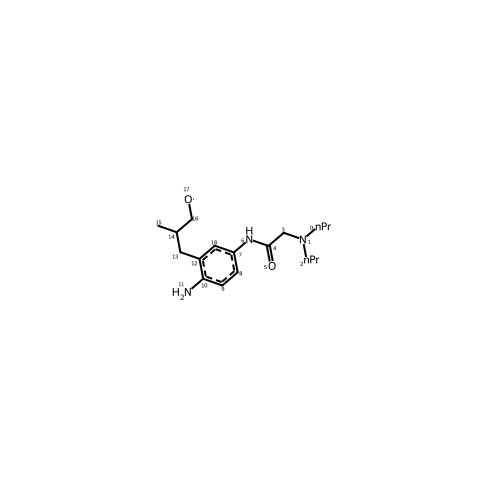 CCCN(CCC)CC(=O)Nc1ccc(N)c(CC(C)C[O])c1